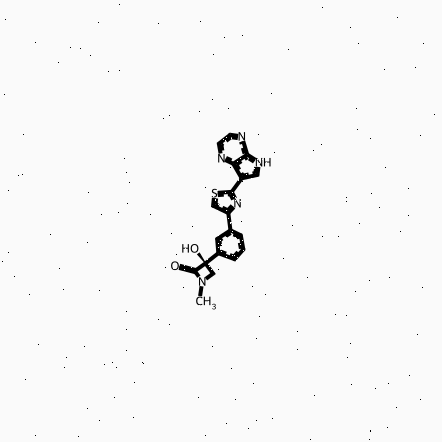 CN1C[C@@](O)(c2cccc(-c3csc(-c4c[nH]c5nccnc45)n3)c2)C1=O